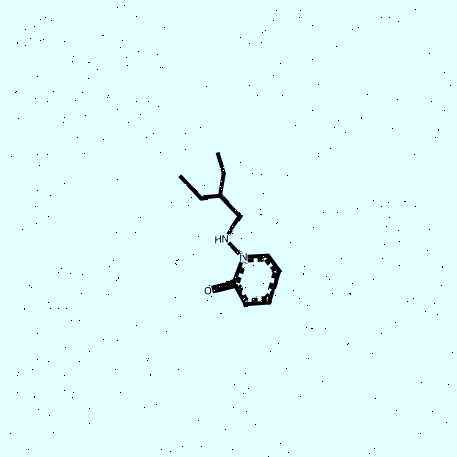 CCC(CC)CNn1ccccc1=O